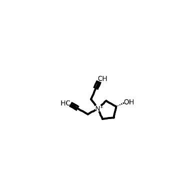 C#CC[N+]1(CC#C)CC[C@@H](O)C1